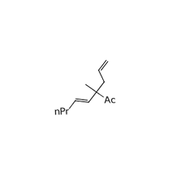 C=CCC(C)(/C=C/CCC)C(C)=O